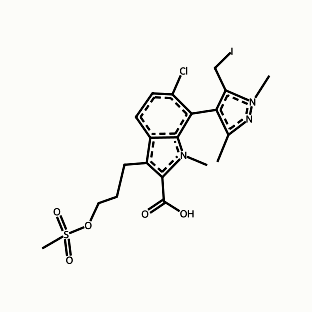 Cc1nn(C)c(CI)c1-c1c(Cl)ccc2c(CCCOS(C)(=O)=O)c(C(=O)O)n(C)c12